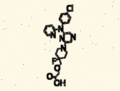 O=C(O)COCC1(F)CCN(c2cncc(N(c3ccc(Cl)cc3)c3ccccn3)n2)CC1